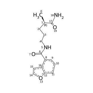 C[C@H](C[CH]CNC(=O)c1cccc2occc12)C(N)=O